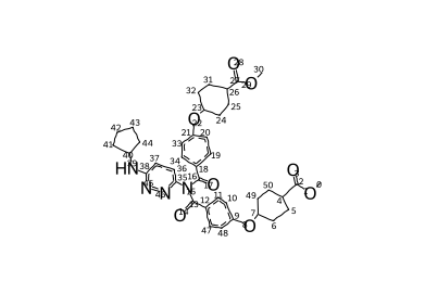 COC(=O)C1CCC(Oc2ccc(C(=O)N(C(=O)c3ccc(OC4CCC(C(=O)OC)CC4)cc3)c3ccc(NC4CCCC4)nn3)cc2)CC1